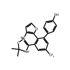 CC1(C)NC(c2cc(C(F)(F)F)cc(-c3ccc(O)cc3)c2-c2occc2C#N)=NO1